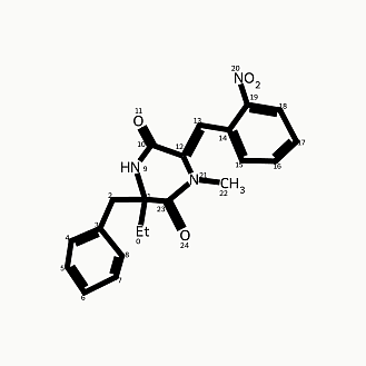 CCC1(Cc2ccccc2)NC(=O)C(=Cc2ccccc2[N+](=O)[O-])N(C)C1=O